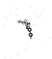 CC(C)(C)OC(=O)NCc1cc2cc(-c3ccc(F)cc3)ccc2[nH]1